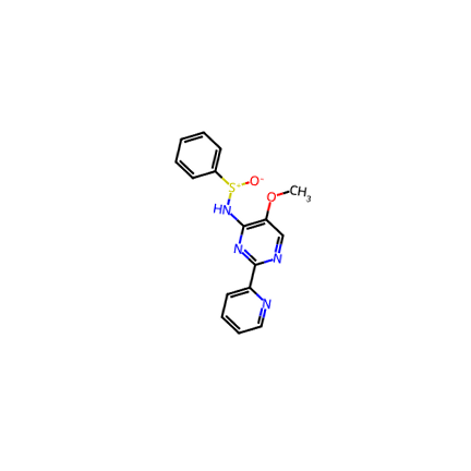 COc1cnc(-c2ccccn2)nc1N[S+]([O-])c1ccccc1